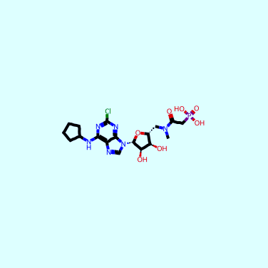 CN(C[C@H]1O[C@@H](n2cnc3c(NC4CCCC4)nc(Cl)nc32)[C@H](O)[C@@H]1O)C(=O)CP(=O)(O)O